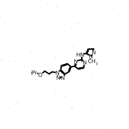 CC(C)OCCCn1nnc2cc(-c3ccnc(Nc4ccnn4C)n3)ccc21